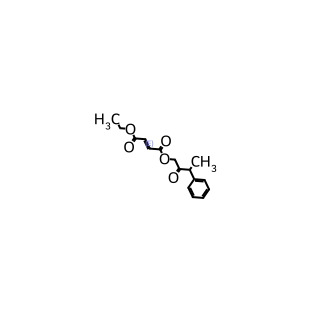 CCOC(=O)/C=C/C(=O)OCC(=O)C(C)c1ccccc1